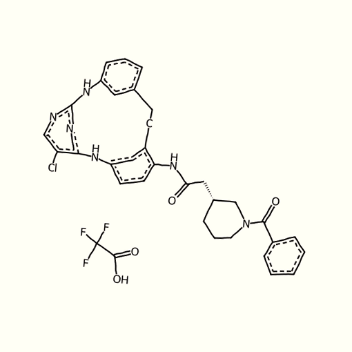 O=C(C[C@H]1CCCN(C(=O)c2ccccc2)C1)Nc1ccc2cc1CCc1cccc(c1)Nc1ncc(Cl)c(n1)N2.O=C(O)C(F)(F)F